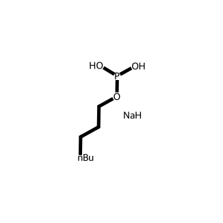 CCCCCCCOP(O)O.[NaH]